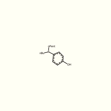 CCCCCN(CCCC)c1ccc(O)cc1